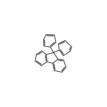 [c]1cc[c]c2c1-c1ccccc1C2(c1ccccc1)c1ccccc1